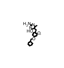 COc1cc(OCc2ccccc2)ccc1Cc1c(C)nc(N)nc1O